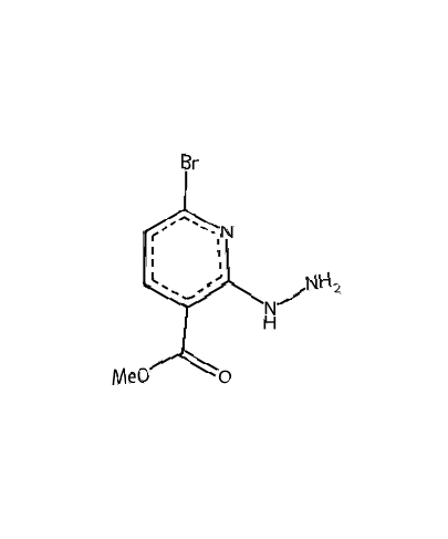 COC(=O)c1ccc(Br)nc1NN